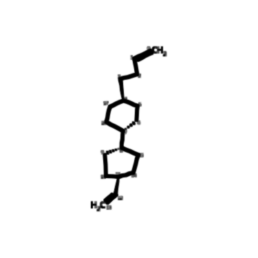 C=CCC[C@H]1CC[C@H]([C@H]2CC[C@H](C=C)CC2)CC1